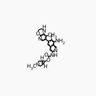 Cc1c(-c2cc3cc(NC(=O)OC4[C@H]5CN(C)C[C@@H]45)ncc3c(N)c2F)cnc2c1NCCO2